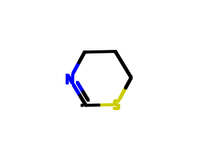 [C]1=NCCCS1